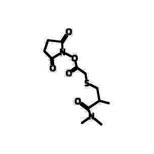 CC(CSCC(=O)ON1C(=O)CCC1=O)C(=O)N(C)C